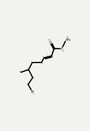 CC(CCBr)CC/C=C/C(=O)OC(C)(C)C